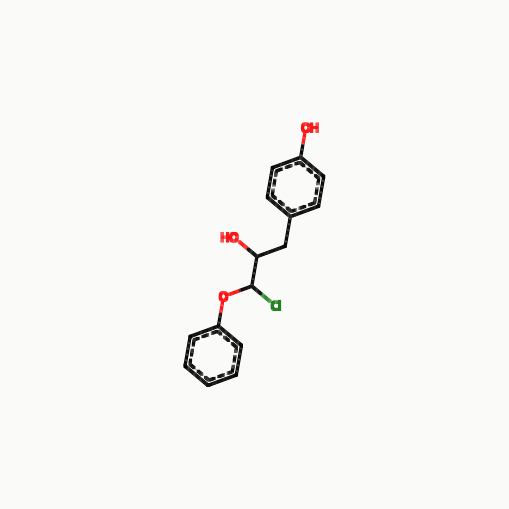 Oc1ccc(CC(O)C(Cl)Oc2ccccc2)cc1